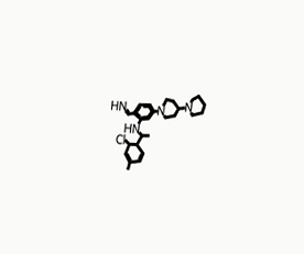 CC1=CC(Cl)C(C(C)Nc2cc(N3CCC(N4CCCCC4)CC3)ccc2C=N)C=C1